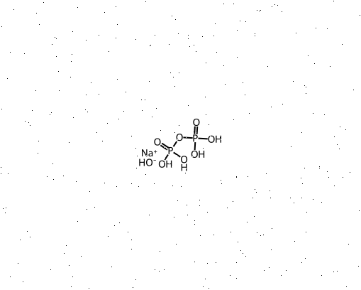 O=P(O)(O)OP(=O)(O)O.[Na+].[OH-]